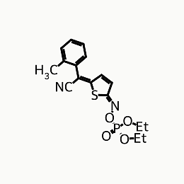 CCOP(=O)(OCC)ON=C1C=CC(=C(C#N)c2ccccc2C)S1